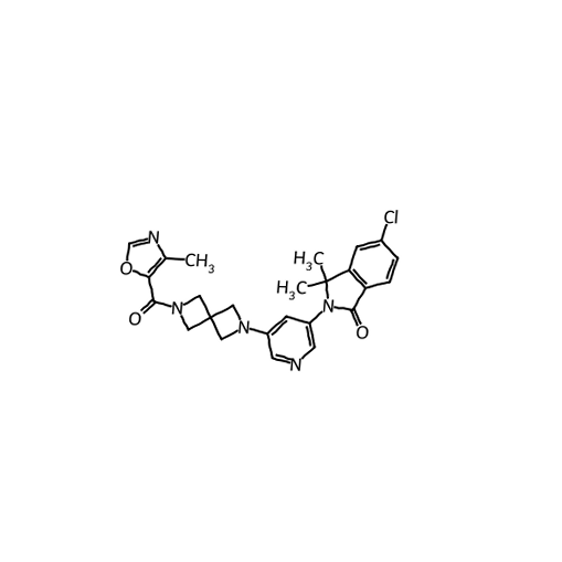 Cc1ncoc1C(=O)N1CC2(C1)CN(c1cncc(N3C(=O)c4ccc(Cl)cc4C3(C)C)c1)C2